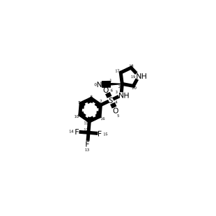 N#C[C@@]1(NS(=O)(=O)c2cccc(C(F)(F)F)c2)CCNC1